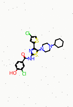 O=C(Nc1nc(-c2cc(Cl)cs2)c(N2CCN(C3CCCCC3)CC2)s1)c1ccc(O)c(Cl)c1